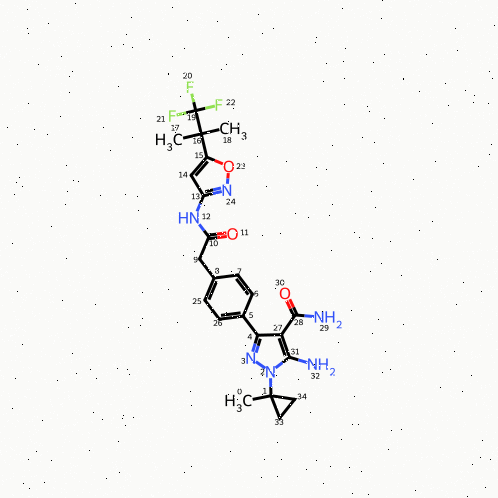 CC1(n2nc(-c3ccc(CC(=O)Nc4cc(C(C)(C)C(F)(F)F)on4)cc3)c(C(N)=O)c2N)CC1